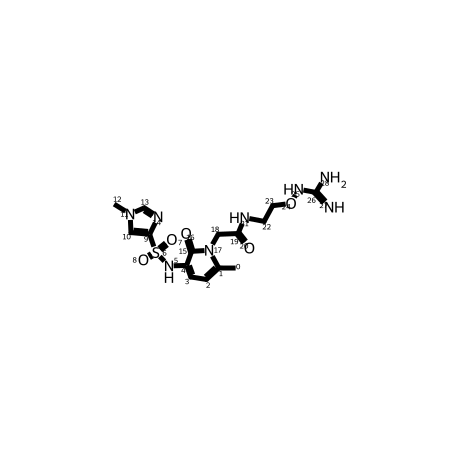 Cc1ccc(NS(=O)(=O)c2cn(C)cn2)c(=O)n1CC(=O)NCCONC(=N)N